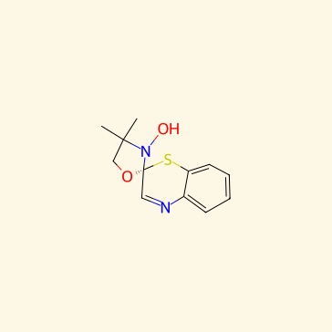 CC1(C)CO[C@]2(C=Nc3ccccc3S2)N1O